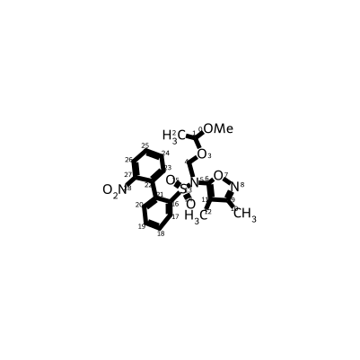 COC(C)OCN(c1onc(C)c1C)S(=O)(=O)c1ccccc1-c1ccccc1[N+](=O)[O-]